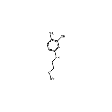 CCCOCCNc1ncc(N)c(O)n1